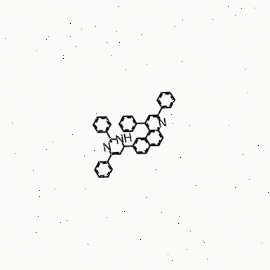 C1=C(c2ccccc2)N=C(c2ccccc2)NC1c1ccc2ccc3nc(-c4ccccc4)cc(-c4ccccc4)c3c2c1